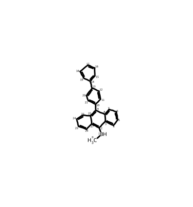 CBc1c2ccccc2c(-c2ccc(-c3ccccc3)cc2)c2ccccc12